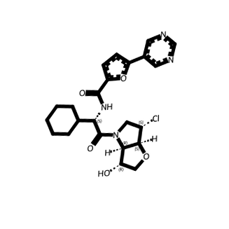 O=C(N[C@H](C(=O)N1C[C@H](Cl)[C@H]2OC[C@H](O)[C@H]21)C1CCCCC1)c1ccc(-c2cncnc2)o1